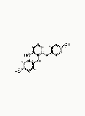 Oc1ccc(Cc2cccc(O)c2Cc2ccc(O)cc2)cc1